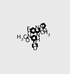 CC(=O)Nc1cc(Nc2c(C)c(N3CCCC3=O)nc3cc(F)ccc23)cc(N2CCOCC2)c1